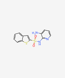 Nc1cccnc1NS(=O)(=O)c1cc2ccccc2s1